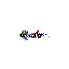 Nc1ccc2c(c1)C(=O)CC1(CCN(CCNC(=O)c3c(Cl)cccc3Cl)CC1)O2